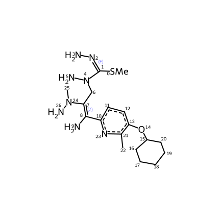 CS/C(=N/N)N(N)C/C(=C(/N)c1ccc(OC2CCCCC2)c(C)n1)N(C)N